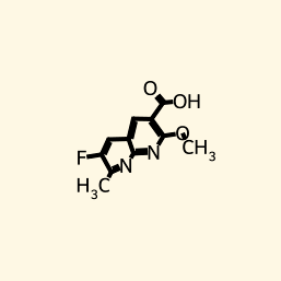 COc1nc2nc(C)c(F)cc2cc1C(=O)O